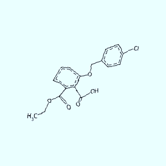 CCOC(=O)c1cccc(OCc2ccc(Cl)cc2)c1C(=O)O